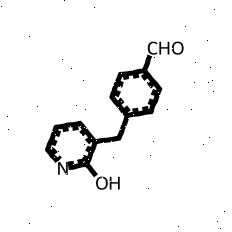 O=Cc1ccc(Cc2cccnc2O)cc1